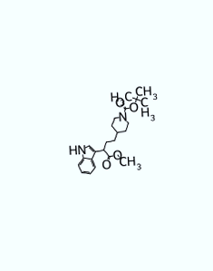 COC(=O)C(CCC1CCN(C(=O)OC(C)(C)C)CC1)c1c[nH]c2ccccc12